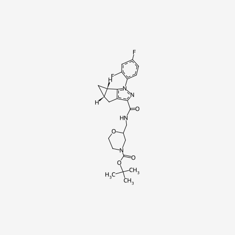 CC(C)(C)OC(=O)N1CCOC(CNC(=O)c2nn(-c3ccc(F)cc3F)c3c2C[C@@H]2C[C@H]32)C1